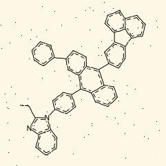 CCc1nc2ccccc2n1-c1ccc(-c2c3ccccc3c(-c3ccc4c(c3)-c3cccc5cccc-4c35)c3ccc(-c4ccccc4)cc23)cc1